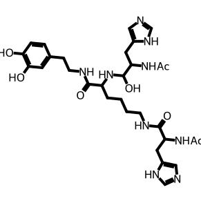 CC(=O)NC(Cc1cnc[nH]1)C(=O)NCCCCC(NC(O)C(Cc1cnc[nH]1)NC(C)=O)C(=O)NCCc1ccc(O)c(O)c1